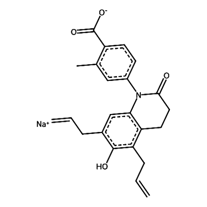 C=CCc1cc2c(c(CC=C)c1O)CCC(=O)N2c1ccc(C(=O)[O-])c(C)c1.[Na+]